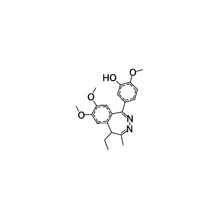 CCC1C(C)=NN=C(c2ccc(OC)c(O)c2)c2cc(OC)c(OC)cc21